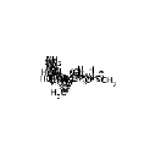 CC(=O)SCCNC(=O)CCNC(=O)C(O)C(C)(C)COP(=O)(O)OP(=O)(O)OC[C@H]1O[C@@H](n2cnc3c(N)ncnc32)[C@H](O)[C@@H]1OP(=O)(O)O.O.c1ccccc1